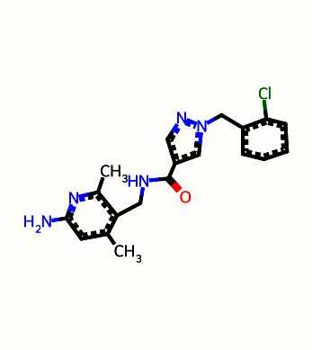 Cc1cc(N)nc(C)c1CNC(=O)c1cnn(Cc2ccccc2Cl)c1